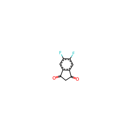 O=C1CC(=O)c2cc(F)c(F)cc21